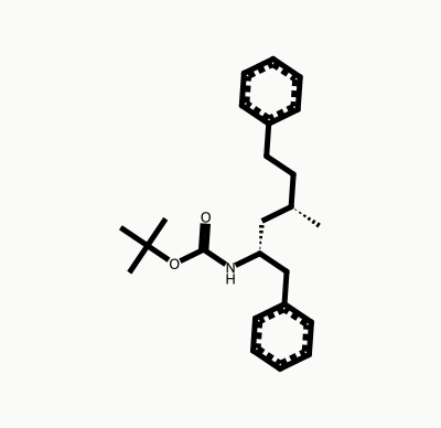 C[C@@H](CCc1ccccc1)C[C@H](Cc1ccccc1)NC(=O)OC(C)(C)C